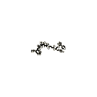 CCN[C@H]1C[C@H](C)S(=O)(=O)c2sc(S(=O)(=O)NC(C)(CC)C(=O)[C@H](C)C(C)(CC)OC(=O)CCC(=O)O[C@@H](CNC(C)(C)C)COc3nsnc3N3CCOCC3)cc21